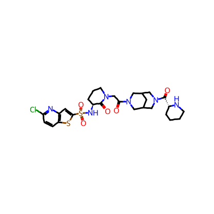 O=C(CN1CCC[C@H](NS(=O)(=O)c2cc3nc(Cl)ccc3s2)C1=O)N1CC2CC(C1)CN(C(=O)[C@H]1CCCCN1)C2